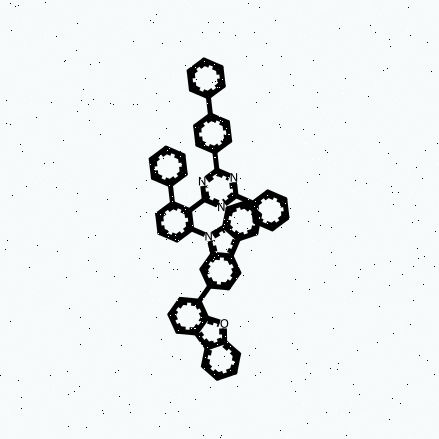 c1ccc(-c2ccc(-c3nc(-c4ccccc4)nc(-c4c(-c5ccccc5)cccc4-n4c5ccccc5c5ccc(-c6cccc7c6oc6ccccc67)cc54)n3)cc2)cc1